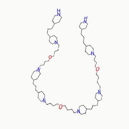 C(CCN1CCC(CCCC2CCNCC2)CC1)COCCCCN1CCC(CCCC2CCN(CCCCOCCCCN3CCC(CCCC4CCN(CCCCOCCCCN5CCC(CCCC6CCNCC6)CC5)CC4)CC3)CC2)CC1